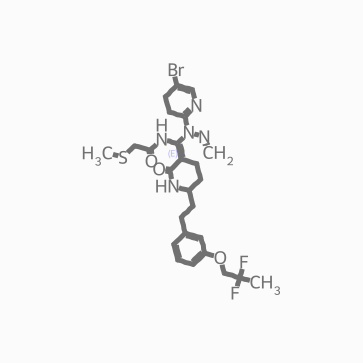 C=NN(C1=NC=C(Br)CC1)/C(NC(=O)CSC)=C1\CCC(CCc2cccc(OCC(C)(F)F)c2)NC1=O